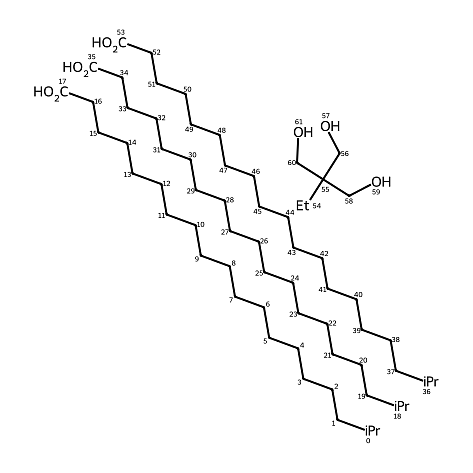 CC(C)CCCCCCCCCCCCCCCCC(=O)O.CC(C)CCCCCCCCCCCCCCCCC(=O)O.CC(C)CCCCCCCCCCCCCCCCC(=O)O.CCC(CO)(CO)CO